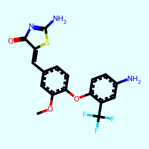 COc1cc(/C=C2\SC(N)=NC2=O)ccc1Oc1ccc(N)cc1C(F)(F)F